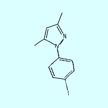 Cc1cc(C)n(-c2ccc(I)cc2)n1